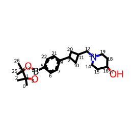 CC1(C)OB(c2ccc(C3CC(CN4CCC(O)CC4)C3)cc2)OC1(C)C